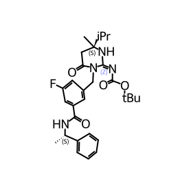 CC(C)[C@]1(C)CC(=O)N(Cc2cc(F)cc(C(=O)N[C@@H](C)c3ccccc3)c2)/C(=N\C(=O)OC(C)(C)C)N1